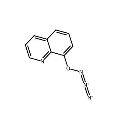 [N-]=[N+]=NOc1cccc2cccnc12